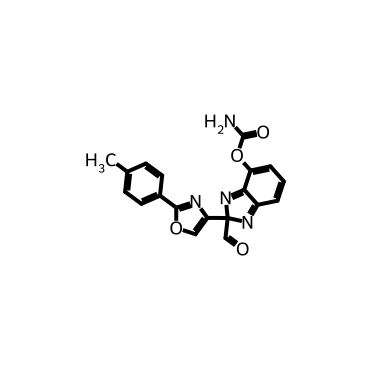 Cc1ccc(-c2nc(C3(C=O)N=c4cccc(OC(N)=O)c4=N3)co2)cc1